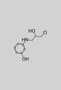 Oc1cccc(NCC(O)CCl)c1